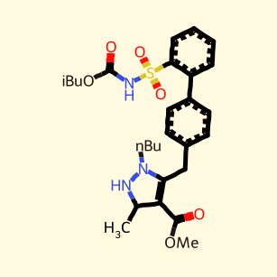 CCCCN1NC(C)C(C(=O)OC)=C1Cc1ccc(-c2ccccc2S(=O)(=O)NC(=O)OCC(C)C)cc1